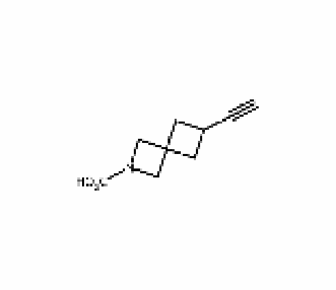 C#CC1CC2(C1)CN(C(=O)O)C2